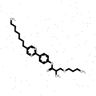 CCCCCCCCc1cnc(-c2ccc(OC(=O)C(C)COCCCC)cc2)nc1